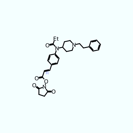 CCC(=O)N(c1ccc(/C=C/C(=O)ON2C(=O)CCC2=O)cc1)C1CCN(CCc2ccccc2)CC1